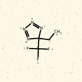 CCC1(C(F)(F)F)N=NN=N1